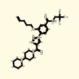 C=CCCCOc1cc(C(=O)NCC(F)(F)F)ccc1-n1cc(C(=O)N2CCC(N3CCCCC3)CC2)nn1